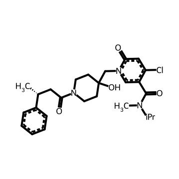 CC(C)N(C)C(=O)c1cn(CC2(O)CCN(C(=O)C[C@@H](C)c3ccccc3)CC2)c(=O)cc1Cl